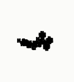 CS(=O)(=O)Nc1ccc(-c2nc(NC(=O)N(CCc3ccncc3)CCC(c3ccccc3)c3ccccc3)sc2Cl)cc1